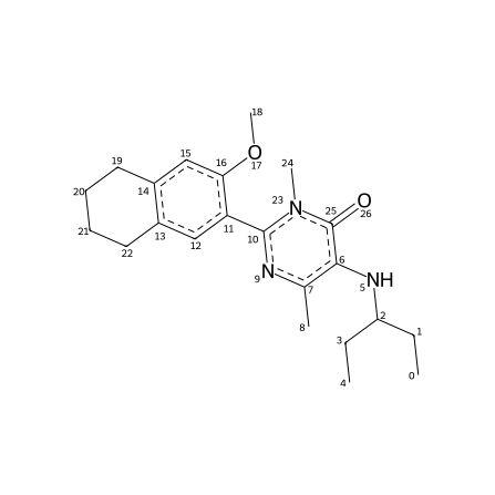 CCC(CC)Nc1c(C)nc(-c2cc3c(cc2OC)CCCC3)n(C)c1=O